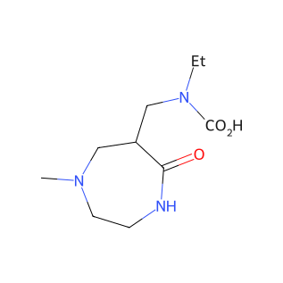 CCN(CC1CN(C)CCNC1=O)C(=O)O